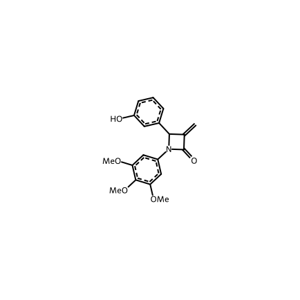 C=C1C(=O)N(c2cc(OC)c(OC)c(OC)c2)C1c1cccc(O)c1